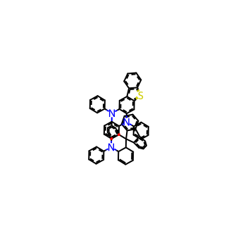 C1=CC2C(C=C1)C1(c3ccccc3-c3ccccc31)c1cc(N(c3ccccc3)c3cc4c(cc3N(c3ccccc3)c3ccccc3)sc3ccccc34)ccc1N2c1ccccc1